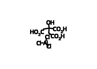 O=C(O)CC(O)(CC(=O)O)C(=O)O.[Cl][Al]([Cl])[Cl]